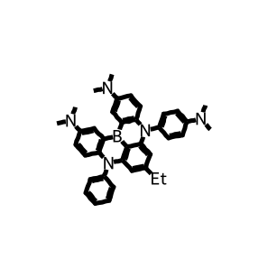 CCc1cc2c3c(c1)N(c1ccc(N(C)C)cc1)c1ccc(N(C)C)cc1B3c1cc(N(C)C)ccc1N2c1ccccc1